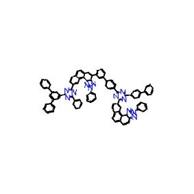 c1ccc(-c2ccc(-c3nc(-c4ccc(-c5cccc(-c6cc7ccc8ccc(-c9nc(-c%10ccccc%10)nc(-c%10cc(-c%11ccccc%11)cc(-c%11ccccc%11)c%10)n9)cc8c7c7nn(-c8ccccc8)nc67)c5)cc4)nc(-c4ccc5ccc6ccc7nn(-c8ccccc8)nc7c6c5c4)n3)cc2)cc1